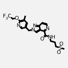 Cc1cc(Cn2cc3c(C(=O)NCCCS(C)(=O)=O)nccc3n2)cnc1OCC(F)(F)F